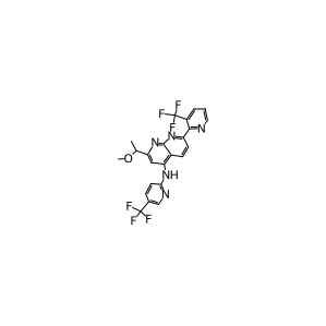 COC(C)c1cc(Nc2ccc(C(F)(F)F)cn2)c2ccc(-c3ncccc3C(F)(F)F)nc2n1